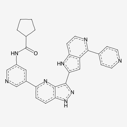 O=C(Nc1cncc(-c2ccc3[nH]nc(-c4cc5c(-c6ccncc6)nccc5[nH]4)c3n2)c1)C1CCCC1